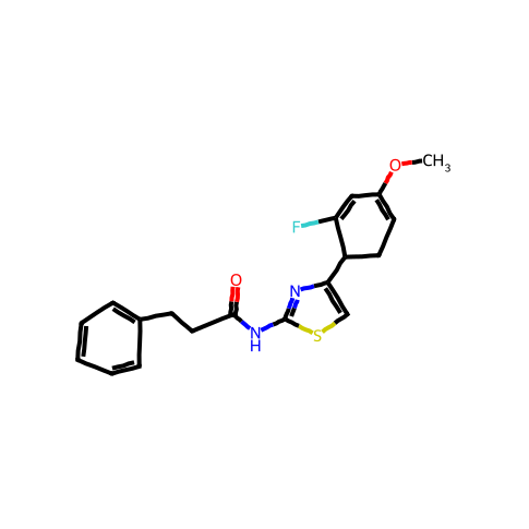 COC1=CCC(c2csc(NC(=O)CCc3ccccc3)n2)C(F)=C1